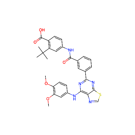 COc1ccc(Nc2nc(-c3cccc(C(=O)Nc4ccc(C(=O)O)c(C(C)(C)C)c4)c3)nc3scnc23)cc1OC